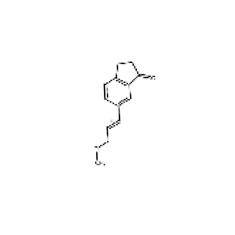 COC/C=C/c1ccc2c(c1)C(=O)CC2